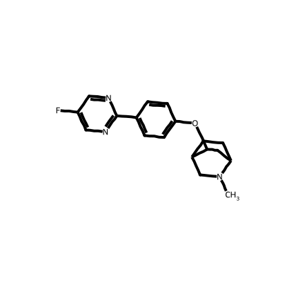 CN1CC2CCC1CC2Oc1ccc(-c2ncc(F)cn2)cc1